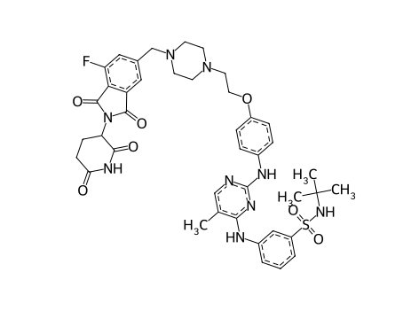 Cc1cnc(Nc2ccc(OCCN3CCN(Cc4cc(F)c5c(c4)C(=O)N(C4CCC(=O)NC4=O)C5=O)CC3)cc2)nc1Nc1cccc(S(=O)(=O)NC(C)(C)C)c1